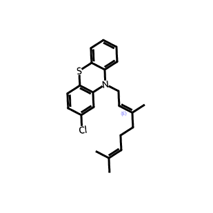 CC(C)=CCC/C(C)=C/CN1c2ccccc2Sc2ccc(Cl)cc21